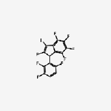 FC1=C(F)C(c2c(F)c[c]c(F)c2F)c2c(F)c(F)c(F)c(F)c21